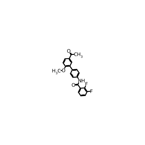 COc1ccc(C(C)=O)cc1-c1ccc(NC(=O)c2cccc(F)c2F)cc1